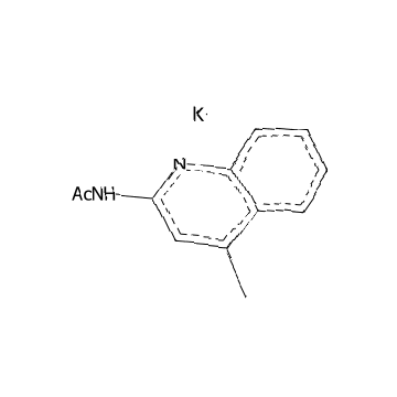 CC(=O)Nc1cc(C)c2ccccc2n1.[K]